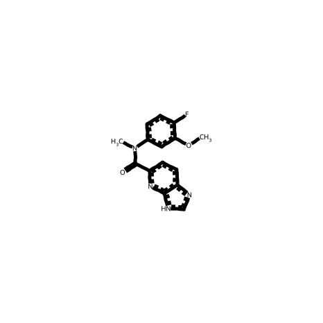 COc1cc(N(C)C(=O)c2ccc3nc[nH]c3n2)ccc1F